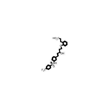 O=C(O)CCc1ccccc1OCCC(O)/C=C/c1cccc(NS(=O)(=O)c2ccc(C(F)(F)F)cc2)c1